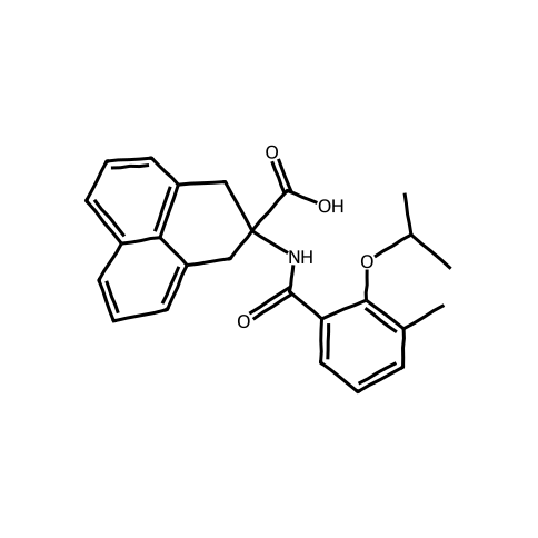 Cc1cccc(C(=O)NC2(C(=O)O)Cc3cccc4cccc(c34)C2)c1OC(C)C